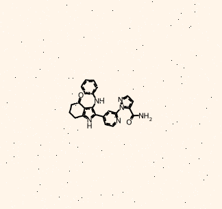 NC(=O)c1ccnn1-c1cc(-c2[nH]c3c(c2Nc2ccccc2)C(=O)CCC3)ccn1